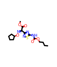 CCCCOC(=O)Nc1nc(/C(=N\OC2CCCC2)C(=O)OC)ns1